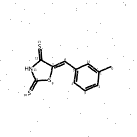 Cc1cccc(/C=C2\SC(=S)NC2=S)c1